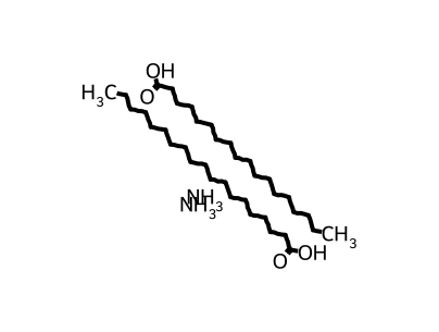 CCCCCCCCCCCCCCCCCC(=O)O.CCCCCCCCCCCCCCCCCCC(=O)O.N.N